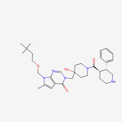 C[Si](C)(C)CCOCn1c(I)cc2c(=O)n(CC3(O)CCN(C(=O)[C@@H]4CCNC[C@H]4c4ccccc4)CC3)cnc21